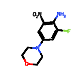 Nc1c(F)cc(N2CCOCC2)cc1[N+](=O)[O-]